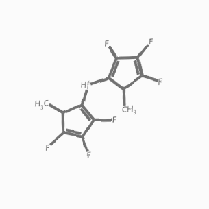 CC1C(F)=C(F)C(F)=[C]1[Hf][C]1=C(F)C(F)=C(F)C1C